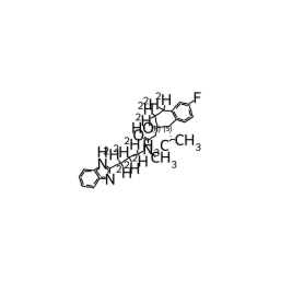 [2H]C([2H])(c1nc2ccccc2[nH]1)C([2H])([2H])C([2H])([2H])N(C)C(=O)C[C@]1(O)[C@@H](C(C)C)c2ccc(F)cc2C([2H])([2H])C1([2H])[2H]